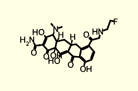 CN(C)[C@@H]1C(O)=C(C(N)=O)C(=O)[C@@]2(O)C(O)=C3C(=O)c4c(O)ccc(C(=O)CNCCF)c4C[C@H]3C[C@@H]12